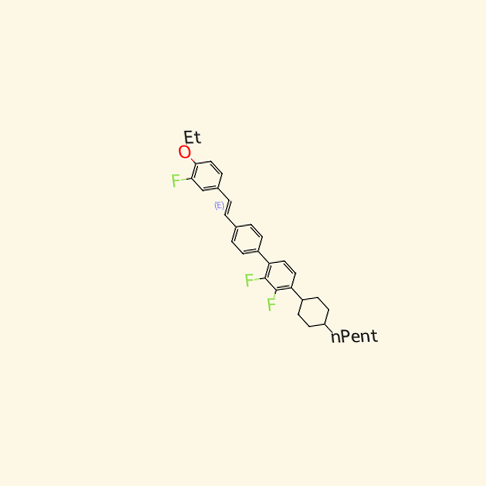 CCCCCC1CCC(c2ccc(-c3ccc(/C=C/c4ccc(OCC)c(F)c4)cc3)c(F)c2F)CC1